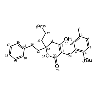 Cc1ccc(C(C)(C)C)c(SC2=C(O)CC(CCc3ccccc3)(CCC(C)C)OC2=O)c1